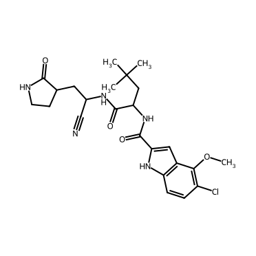 COc1c(Cl)ccc2[nH]c(C(=O)NC(CC(C)(C)C)C(=O)NC(C#N)CC3CCNC3=O)cc12